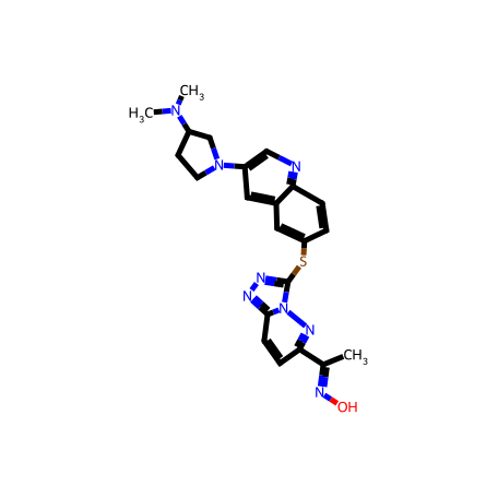 C/C(=N\O)c1ccc2nnc(Sc3ccc4ncc(N5CCC(N(C)C)C5)cc4c3)n2n1